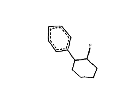 FC1CCCCC1c1ccccc1